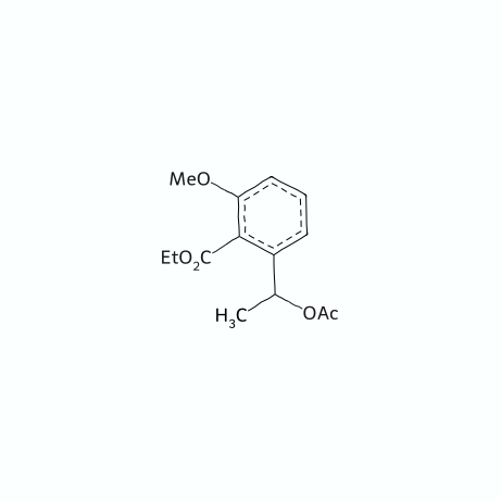 CCOC(=O)c1c(OC)cccc1C(C)OC(C)=O